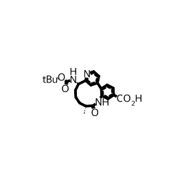 C[C@@H]1CCC[C@H](NC(=O)OC(C)(C)C)c2cc(ccn2)-c2ccc(C(=O)O)cc2NC1=O